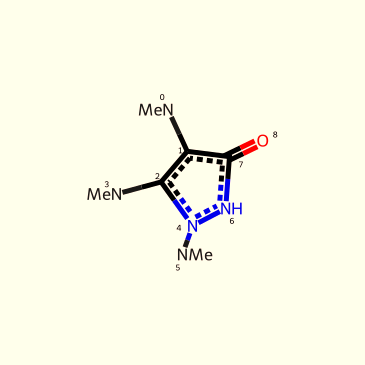 CNc1c(NC)n(NC)[nH]c1=O